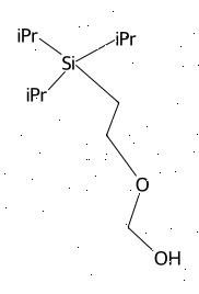 CC(C)[Si](CCOCO)(C(C)C)C(C)C